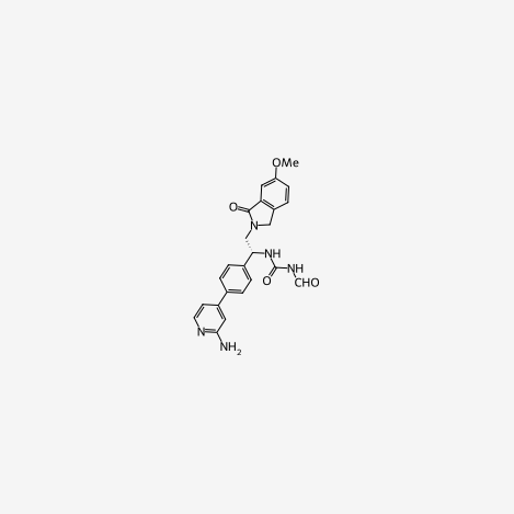 COc1ccc2c(c1)C(=O)N(C[C@H](NC(=O)NC=O)c1ccc(-c3ccnc(N)c3)cc1)C2